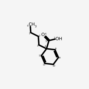 CCCCC1(C(=O)O)C=CCC=C1